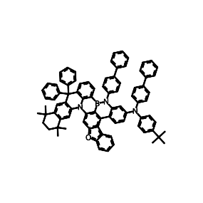 CC(C)(C)c1ccc(N(c2ccc(-c3ccccc3)cc2)c2ccc3c(c2)N(c2ccc(-c4ccccc4)cc2)B2c4cccc5c4N(c4cc6c(cc4C5(c4ccccc4)c4ccccc4)C(C)(C)CCC6(C)C)c4cc5oc6ccccc6c5c-3c42)cc1